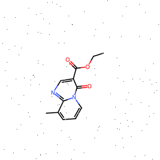 CCOC(=O)c1cnc2c(C)cccn2c1=O